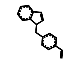 C=Cc1ccc(CC2C=Cc3ccccc32)cc1